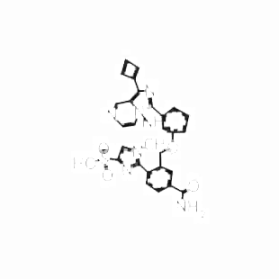 Cn1cc(S(=O)(=O)O)nc1-c1ccc(C(N)=O)cc1COc1cccc(C2=NC(C3=CC=C3)=C3C=NC=C[N+]23N)c1